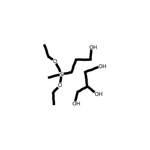 CCO[Si](C)(CCCO)OCC.OCC(O)CO